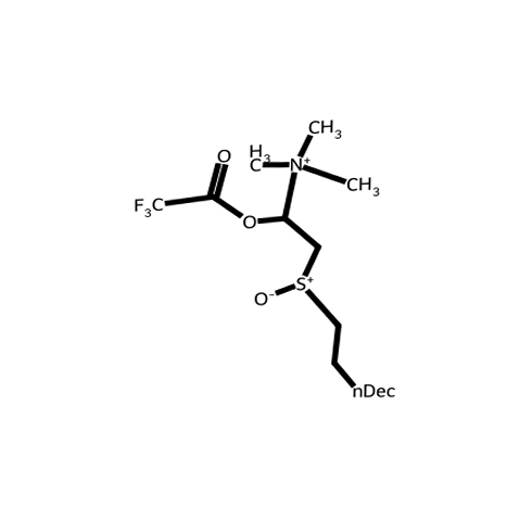 CCCCCCCCCCCC[S+]([O-])CC(OC(=O)C(F)(F)F)[N+](C)(C)C